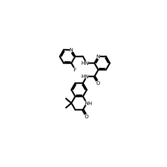 CC1(C)CC(=O)Nc2cc(NC(=O)c3cccnc3NCc3ncccc3F)ccc21